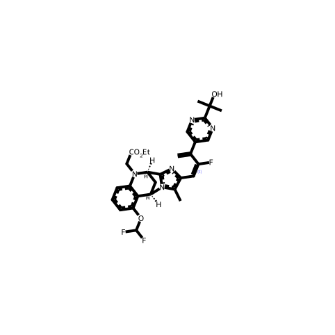 C=C(/C(F)=C\c1nc2n(c1C)[C@@H]1C[C@H]2N(CC(=O)OCC)c2cccc(OC(F)F)c21)c1cnc(C(C)(C)O)nc1